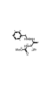 C=C(NNCc1ccccc1)[C@@H](NC(=O)OC)C(C)C